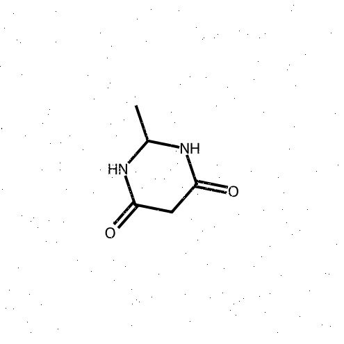 CC1NC(=O)CC(=O)N1